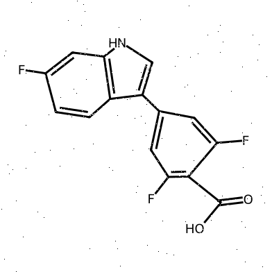 O=C(O)c1c(F)cc(-c2c[nH]c3cc(F)ccc23)cc1F